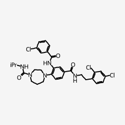 CC(C)NC(=O)N1CCCN(c2ccc(C(=O)NCCc3ccc(Cl)cc3Cl)cc2NC(=O)c2cccc(Cl)c2)CC1